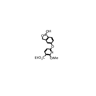 CCOC(=O)c1ccc(Oc2ccc3c(c2)COB3O)nc1OC